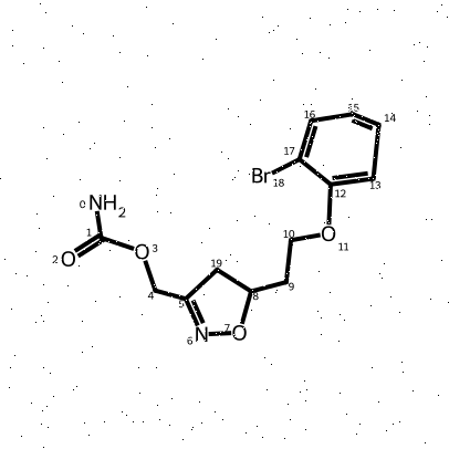 NC(=O)OCC1=NOC(CCOc2ccccc2Br)C1